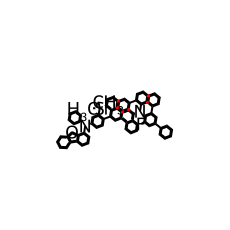 C[Si]1(C)c2cc(N(c3ccccc3)c3cccc4c3oc3ccccc34)ccc2-c2cc3c4ccccc4c(N(c4ccccc4-c4ccccc4)c4c(F)cc(-c5ccccc5)cc4-c4ccccc4)cc3c3cccc1c23